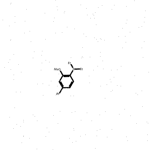 CCN(CC)c1ccc(C(C)C)cc1OC